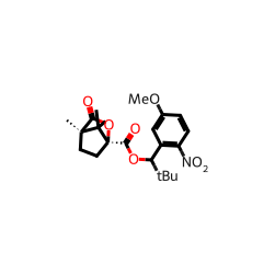 COc1ccc([N+](=O)[O-])c(C(OC(=O)[C@@]23CC[C@@](C)(C(=O)O2)C3(C)C)C(C)(C)C)c1